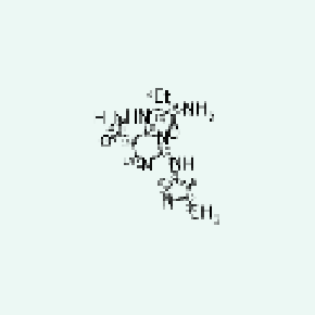 CC[C@@H](Nc1nc(Nc2cc(C)ns2)ncc1C(N)=O)C(N)=O